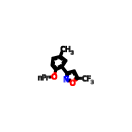 CCCOc1ccc(C)cc1-c1cc(C(F)(F)F)on1